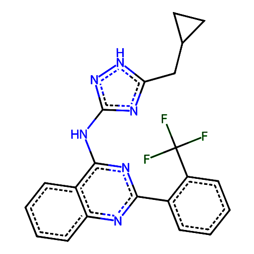 FC(F)(F)c1ccccc1-c1nc(Nc2n[nH]c(CC3CC3)n2)c2ccccc2n1